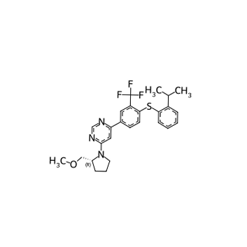 COC[C@H]1CCCN1c1cc(-c2ccc(Sc3ccccc3C(C)C)c(C(F)(F)F)c2)ncn1